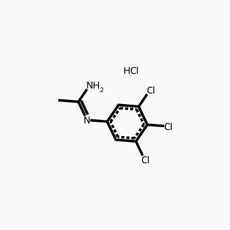 CC(N)=Nc1cc(Cl)c(Cl)c(Cl)c1.Cl